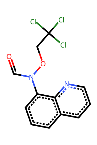 O=CN(OCC(Cl)(Cl)Cl)c1cccc2cccnc12